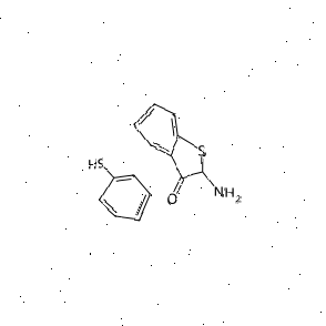 NC1Sc2ccccc2C1=O.Sc1ccccc1